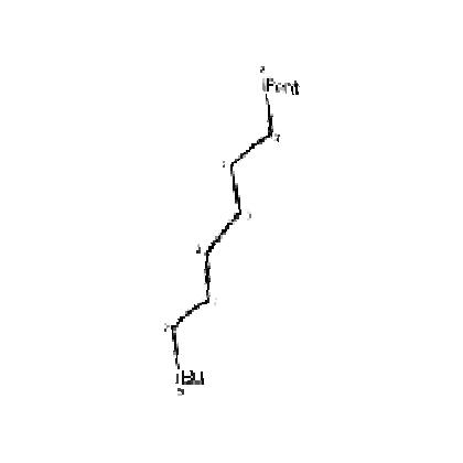 CCCC(C)CCCCCCC(C)CC